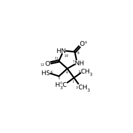 CC(C)(C)C1(CS)NC(=O)NC1=O